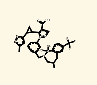 Cc1cc(C2CC2c2c(C(=O)O)cnn2-c2cccc(CN3CC(C)Cc4cc(C(F)(F)F)ccc4S3(O)O)c2)on1